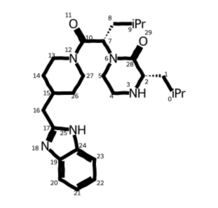 CC(C)C[C@@H]1NCCN([C@@H](CC(C)C)C(=O)N2CCC(Cc3nc4ccccc4[nH]3)CC2)C1=O